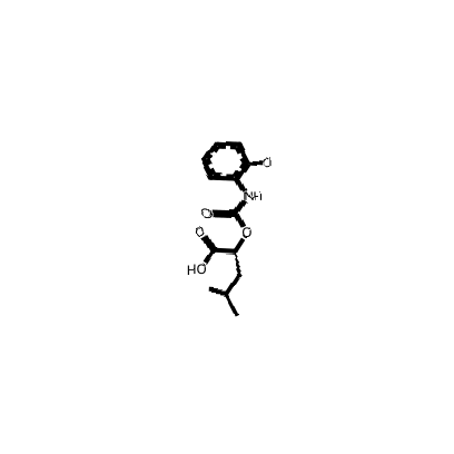 CC(C)C[C@H](OC(=O)Nc1ccccc1Cl)C(=O)O